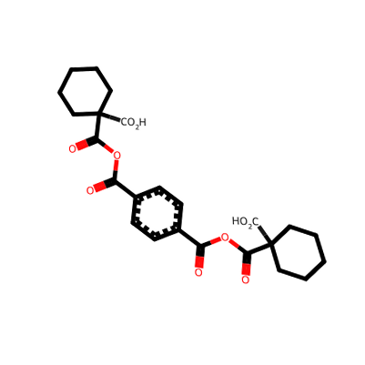 O=C(OC(=O)C1(C(=O)O)CCCCC1)c1ccc(C(=O)OC(=O)C2(C(=O)O)CCCCC2)cc1